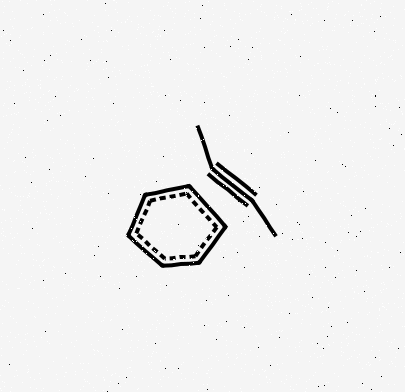 CC#CC.c1ccccc1